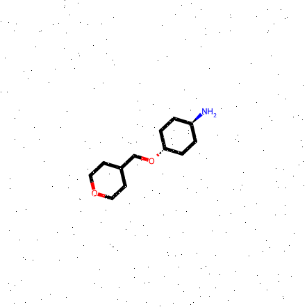 N[C@H]1CC[C@H](OCC2CCOCC2)CC1